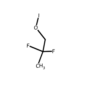 CC(F)(F)COI